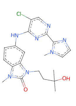 Cn1ccnc1-c1ncc(Cl)c(Nc2ccc3c(c2)n(CCC(C)(C)O)c(=O)n3C)n1